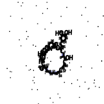 C=C1C[C@H](O)/C(C)=C/CC([C@H](C)C[C@@H]2CC[C@@H](O)[C@H](O)C2)OC(=O)[C@@H]2CCCCN2C(=O)C(=O)[C@]2(O)O[C@@H](CC[C@H]2C)C[C@H](OC)/C(C)=C/C=C/C=C/[C@@H](C)C[C@H]1C